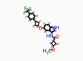 COC1CC(C(=O)Nc2c[nH]c3ccc(OC4CC(c5ccc(C(F)(F)F)cc5)C4)cc23)C1